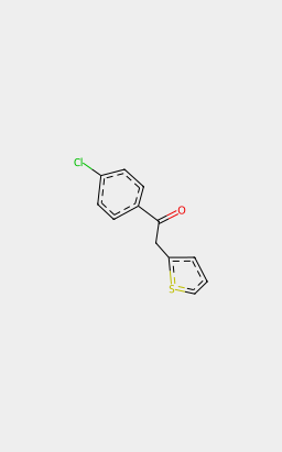 O=C(Cc1cccs1)c1ccc(Cl)cc1